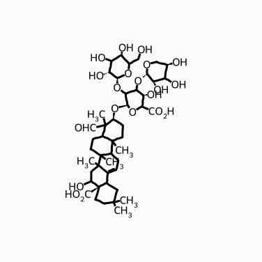 CC1(C)CC[C@]2(C(=O)O)C(O)CC3(C)C(=CCC4C5(C)CC[C@H](O[C@@H]6OC(C(=O)O)[C@@H](O)C(O[C@@H]7OC[C@@H](O)C(O)[C@H]7O)C6O[C@@H]6OC(CO)[C@H](O)C(O)[C@H]6O)C(C)(C=O)C5CCC43C)C2C1